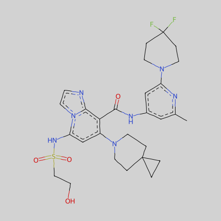 Cc1cc(NC(=O)c2c(N3CCC4(CC3)CC4)cc(NS(=O)(=O)CCO)n3ccnc23)cc(N2CCC(F)(F)CC2)n1